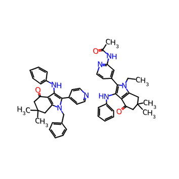 CC1(C)CC(=O)c2c(Nc3ccccc3)c(-c3ccncc3)n(Cc3ccccc3)c2C1.CCn1c2c(c(Nc3ccccc3)c1-c1ccnc(NC(C)=O)c1)C(=O)CC(C)(C)C2